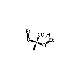 CCO[Si](C)(OCC)C(=O)O